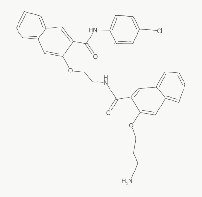 NCCCOc1cc2ccccc2cc1C(=O)NCCOc1cc2ccccc2cc1C(=O)Nc1[c]cc(Cl)cc1